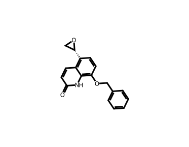 O=c1ccc2c([C@@H]3CO3)ccc(OCc3ccccc3)c2[nH]1